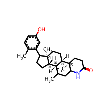 Cc1ccc(O)cc1C1CC[C@H]2[C@@H]3C(C)CC4NC(=O)CC[C@]4(C)[C@@H]3CC[C@]12C